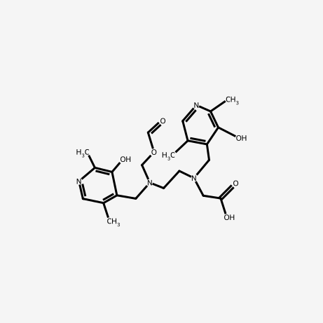 Cc1cnc(C)c(O)c1CN(CCN(CC(=O)O)Cc1c(C)cnc(C)c1O)COC=O